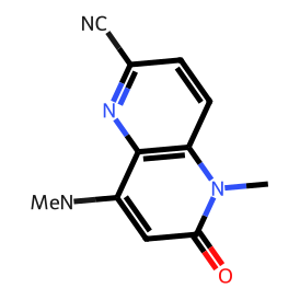 CNc1cc(=O)n(C)c2ccc(C#N)nc12